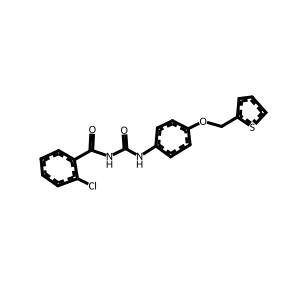 O=C(NC(=O)c1ccccc1Cl)Nc1ccc(OCc2cccs2)cc1